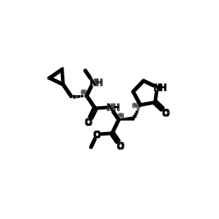 CN[C@@H](CC1CC1)C(=O)N[C@@H](C[C@@H]1CCNC1=O)C(=O)OC